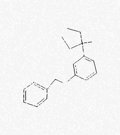 CCC(C)(CC)c1cccc(OCc2ccccc2)c1